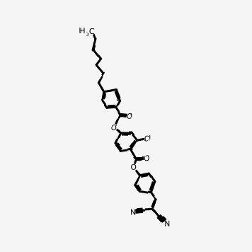 CCCCCCCc1ccc(C(=O)Oc2ccc(C(=O)Oc3ccc(C=C(C#N)C#N)cc3)c(Cl)c2)cc1